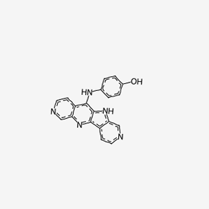 Oc1ccc(Nc2c3ccncc3nc3c2[nH]c2cnccc23)cc1